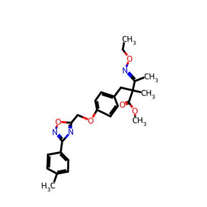 CCON=C(C)C(C)(Cc1ccc(OCc2nc(-c3ccc(C)cc3)no2)cc1)C(=O)OC